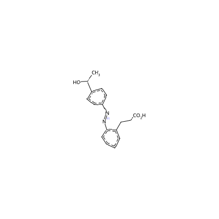 CC(O)c1ccc(/N=N/c2ccccc2CCC(=O)O)cc1